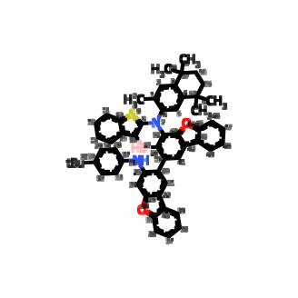 Cc1cc2c(cc1N1c3sc4ccccc4c3Bc3c(-c4cc5c(cc4Nc4ccc(C(C)(C)C)cc4)oc4ccccc45)cc4c(oc5ccccc54)c31)C(C)(C)CCC2(C)C